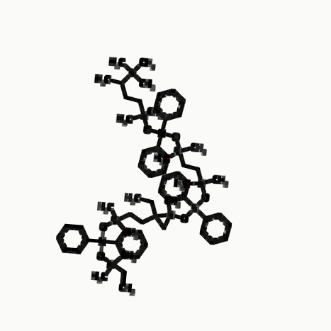 C=C[Si](C)(C)O[Si](O[Si](C)(C)CCC1(CC)C[Si]1(C)O[Si](O[Si](C)(C)CC[Si](C)(C)O[Si](O[Si](C)(C)CCC(C)[Si](C)(C)C)(c1ccccc1)c1ccccc1)(c1ccccc1)c1ccccc1)(c1ccccc1)c1ccccc1